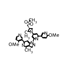 COc1ccc(-c2cc(N3C[C@H](CS(C)(=O)=O)[C@H]3C)cc(-n3ncc4c(C)nc(-c5cnccc5OC)cc43)n2)cn1